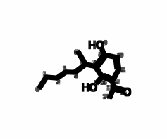 CCCCCC(C)c1c(O)ccc(C(C)=O)c1O